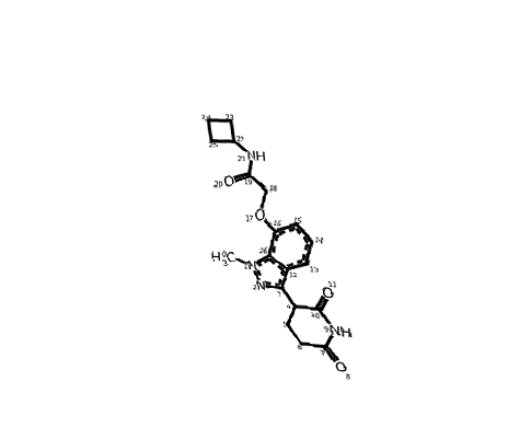 Cn1nc(C2CCC(=O)NC2=O)c2cccc(OCC(=O)NC3CCC3)c21